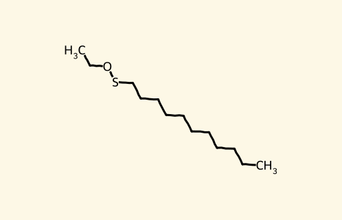 CCCCCCCCCCCSOCC